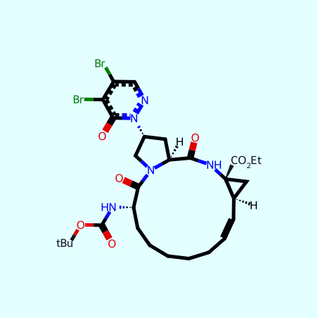 CCOC(=O)[C@@]12C[C@H]1/C=C\CCCCC[C@H](NC(=O)OC(C)(C)C)C(=O)N1C[C@H](n3ncc(Br)c(Br)c3=O)C[C@H]1C(=O)N2